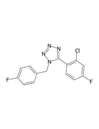 Fc1ccc(Cn2nnnc2-c2ccc(F)cc2Cl)cc1